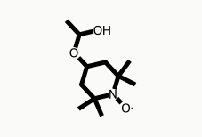 CC(O)OC1CC(C)(C)N([O])C(C)(C)C1